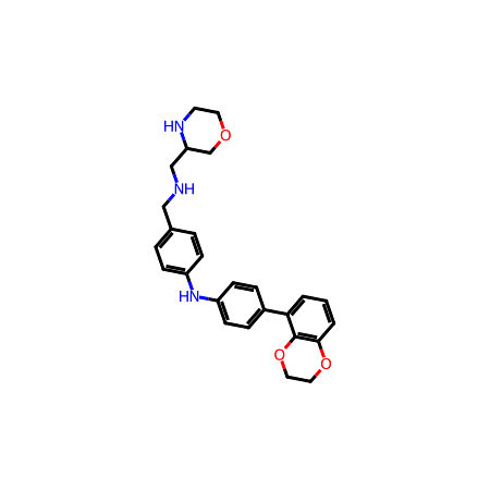 c1cc2c(c(-c3ccc(Nc4ccc(CNCC5COCCN5)cc4)cc3)c1)OCCO2